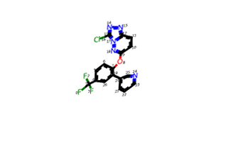 FC(F)(F)c1ccc(Oc2ccc3nnc(Cl)n3n2)c(-c2cccnc2)c1